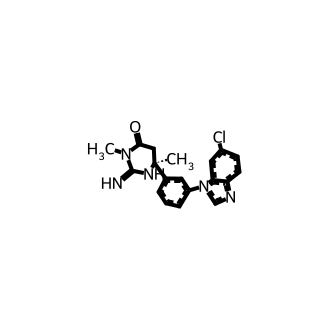 CN1C(=N)N[C@](C)(c2cccc(-n3cnc4ccc(Cl)cc43)c2)CC1=O